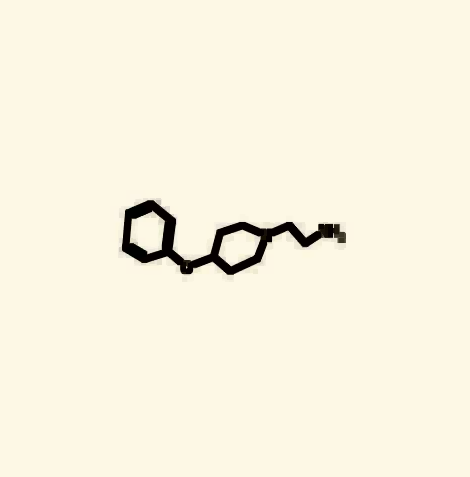 NCCN1CCC(Oc2ccccc2)CC1